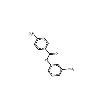 O=C(Nc1cccc([N+](=O)[O-])c1)c1ccc([N+](=O)[O-])cc1